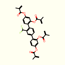 C=C(C)C(=O)Oc1ccc(-c2ccc(-c3ccc(OC(=O)C(=C)C)cc3OC(=O)C(=C)C)c(C(F)F)c2)c(OC(=O)C(=C)C)c1